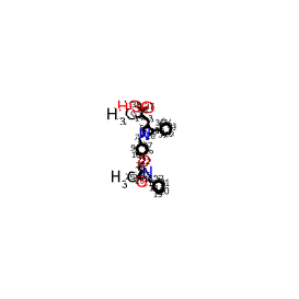 CCC(=Cc1cn(Cc2ccc(OCc3nc(-c4ccccc4)oc3C)cc2)cc1-c1ccccc1)C(=O)O